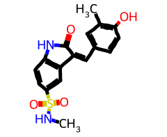 CNS(=O)(=O)c1ccc2c(c1)C(=Cc1ccc(O)c(C)c1)C(=O)N2